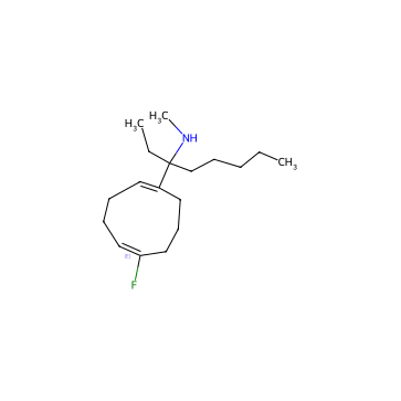 CCCCCC(CC)(NC)C1=CCC/C=C(/F)CCC1